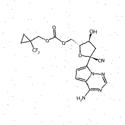 N#C[C@]1(c2ccc3c(N)ncnn23)C[C@H](O)[C@@H](COC(=O)OCC2(C(F)(F)F)CC2)O1